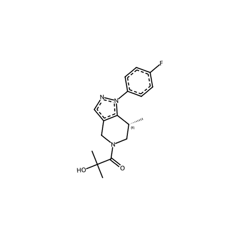 C[C@@H]1CN(C(=O)C(C)(C)O)Cc2cnn(-c3ccc(F)cc3)c21